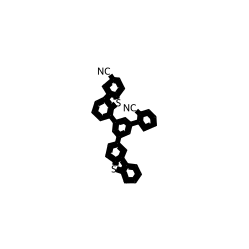 N#Cc1ccc2sc3c(-c4cc(-c5ccc6sc7ccccc7c6c5)cc(-c5ccccc5C#N)c4)cccc3c2c1